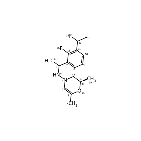 CC1=CN(NC(C)c2cccc(C(F)F)c2F)C[C@@H](C)O1